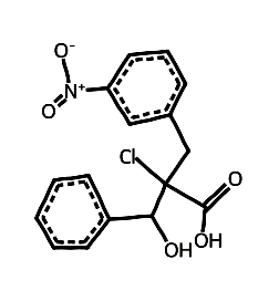 O=C(O)C(Cl)(Cc1cccc([N+](=O)[O-])c1)C(O)c1ccccc1